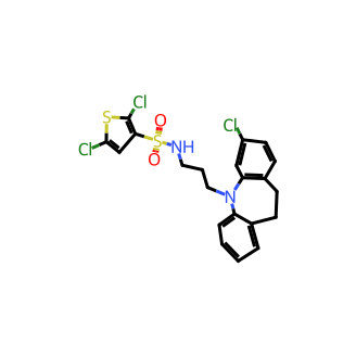 O=S(=O)(NCCCN1c2ccccc2CCc2ccc(Cl)cc21)c1cc(Cl)sc1Cl